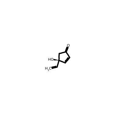 C=C[C@@]1(O)C=CC(=O)C1